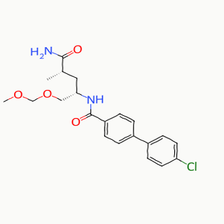 COCOC[C@H](C[C@H](C)C(N)=O)NC(=O)c1ccc(-c2ccc(Cl)cc2)cc1